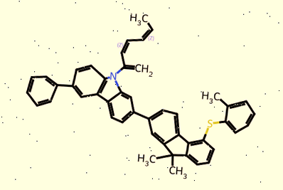 C=C(/C=C\C=C/C)n1c2ccc(-c3ccccc3)cc2c2ccc(-c3ccc4c(c3)C(C)(C)c3cccc(Sc5ccccc5C)c3-4)cc21